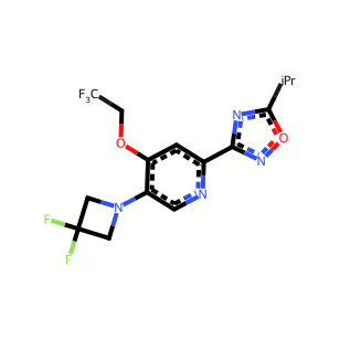 CC(C)c1nc(-c2cc(OCC(F)(F)F)c(N3CC(F)(F)C3)cn2)no1